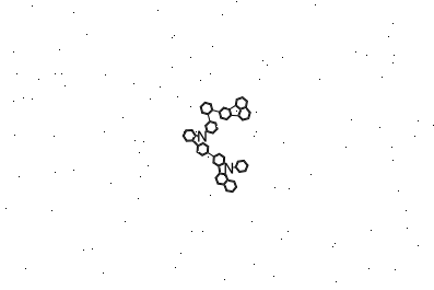 c1ccc(-n2c3ccc(-c4ccc5c6ccccc6n(-c6cccc(-c7ccccc7-c7ccc8c(c7)-c7cccc9cccc-8c79)c6)c5c4)cc3c3ccc4ccccc4c32)cc1